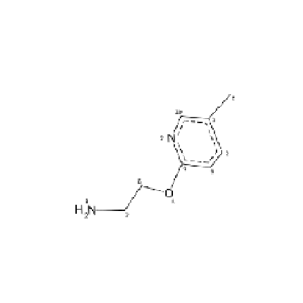 Cc1ccc(OCCN)nc1